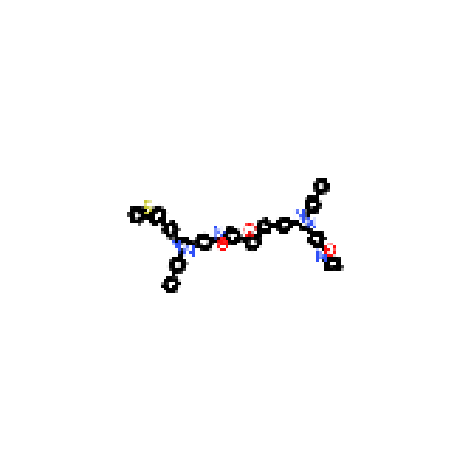 C1=CC(c2nc3ccc(-c4cccc5c6c(oc45)=CCC(c4ccc(-c5cc(-c7ccc(-c8nc9ccccc9o8)cc7)nc(-c7ccc(-c8ccccc8)cc7)n5)cc4)C=6)cc3o2)CC=C1c1cc(-c2ccc(-c3ccc4sc5ccccc5c4c3)cc2)nc(-c2ccc(-c3ccccc3)cc2)n1